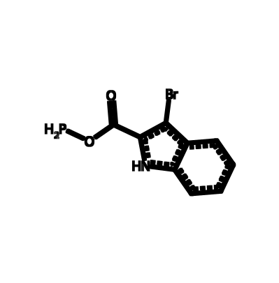 O=C(OP)c1[nH]c2ccccc2c1Br